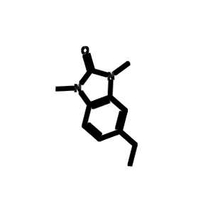 CCc1ccc2c(c1)n(C)c(=O)n2C